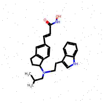 CC(C)CN(CCc1c[nH]c2ccccc12)C1CCc2cc(/C=C/C(=O)NO)ccc21